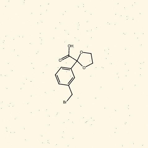 O=C(O)C1(c2cccc(CBr)c2)OCCO1